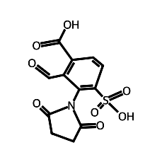 O=Cc1c(C(=O)O)ccc(S(=O)(=O)O)c1N1C(=O)CCC1=O